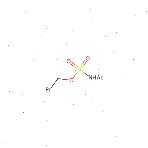 CC(=O)NS(=O)(=O)OCC(C)C